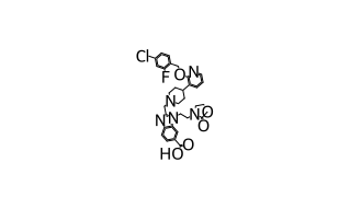 O=C(O)c1ccc2nc(CN3CCC(c4cccnc4OCc4ccc(Cl)cc4F)CC3)n(CCN3CCOC3=O)c2c1